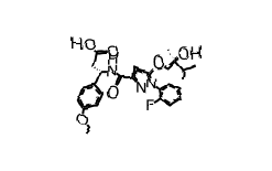 CCOc1ccc([C@H](CC(=O)O)NC(=O)c2cc(OC[C@@](C)(O)C(C)C)n(-c3ccccc3F)n2)cc1